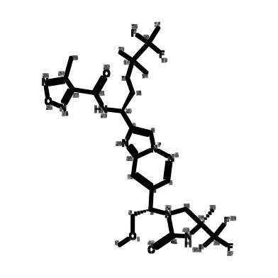 COC[C@H](c1cnn2cc([C@H](CCC(C)(C)C(C)(F)F)NC(=O)c3nonc3C)nc2c1)N1C[C@@](C)(C(F)(F)F)NC1=O